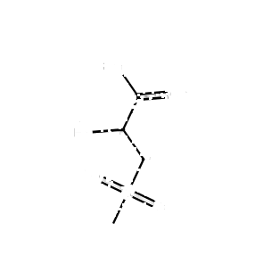 CS(=O)(=O)CC(S)C(=O)O